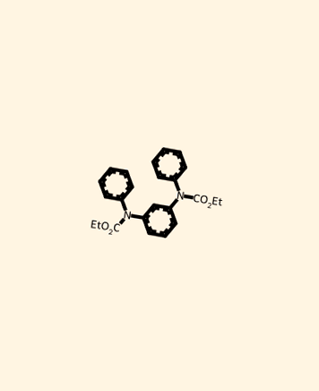 CCOC(=O)N(c1ccccc1)c1cccc(N(C(=O)OCC)c2ccccc2)c1